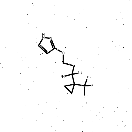 [2H]C([2H])(CCOc1cc[nH]n1)C1(C(F)(F)F)CC1